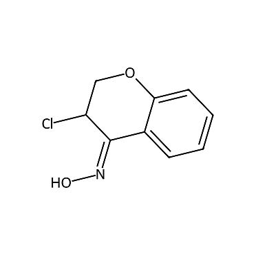 ON=C1c2ccccc2OCC1Cl